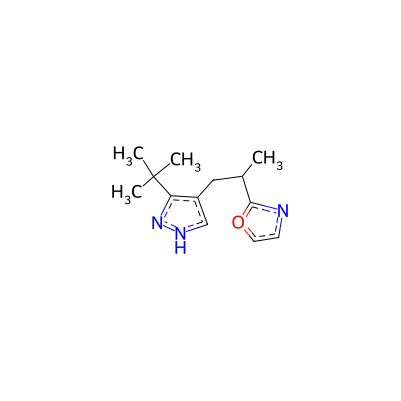 CC(Cc1c[nH]nc1C(C)(C)C)c1ncco1